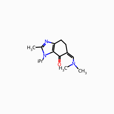 Cc1nc2c(n1C(C)C)C(=O)/C(=C\N(C)C)CC2